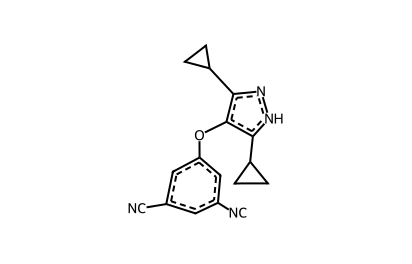 [C-]#[N+]c1cc(C#N)cc(Oc2c(C3CC3)n[nH]c2C2CC2)c1